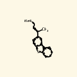 CNCC=C(C)c1ccc2sc3ccccc3c2c1